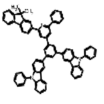 CC1(C)c2ccccc2-c2ccc(-c3cc(-c4cc(-c5ccc6c(c5)c5ccccc5n6-c5ccccc5)cc(-c5ccc6c(c5)c5ccccc5n6-c5ccccc5)c4)cc(-c4ccccc4)n3)cc21